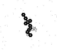 CC1(C)c2ccc(-c3c4ccccc4c(-c4ccc(-c5ccccc5)cc4)c4ccccc34)cc2-c2cc3ccc4oc5ccccc5c4c3cc21